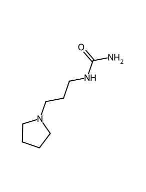 NC(=O)NCCCN1CCCC1